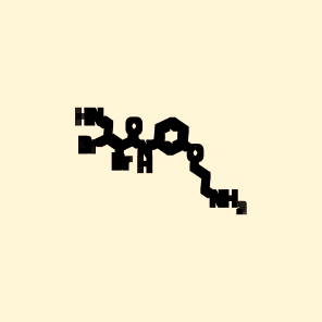 N=C/C(Br)=C(/Br)C(=O)Nc1cccc(OCCCN)c1